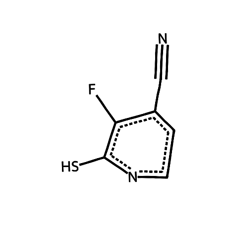 N#Cc1ccnc(S)c1F